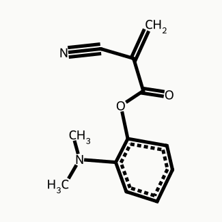 C=C(C#N)C(=O)Oc1ccccc1N(C)C